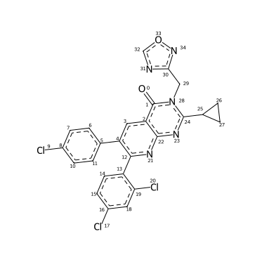 O=c1c2cc(-c3ccc(Cl)cc3)c(-c3ccc(Cl)cc3Cl)nc2nc(C2CC2)n1Cc1ncon1